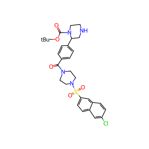 CC(C)(C)OC(=O)N1CCNCC1c1ccc(C(=O)N2CCN(S(=O)(=O)c3ccc4cc(Cl)ccc4c3)CC2)cc1